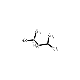 CC([SiH3])[SiH2]N(C)C